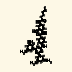 CCCCCC(=O)Nc1ccc(NC(=O)c2ccc(Nc3nc(N4C[C@H](N)C[C@H](N)C4)nc(N4C[C@H](N)C[C@H](N)C4)n3)cc2)c(O)c1